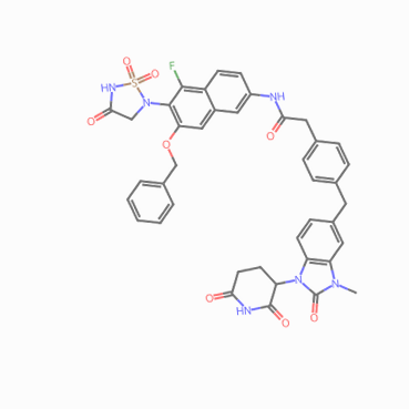 Cn1c(=O)n(C2CCC(=O)NC2=O)c2ccc(Cc3ccc(CC(=O)Nc4ccc5c(F)c(N6CC(=O)NS6(=O)=O)c(OCc6ccccc6)cc5c4)cc3)cc21